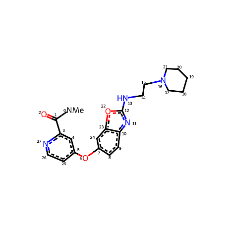 CNC(=O)c1cc(Oc2ccc3nc(NCCN4CCCCC4)oc3c2)ccn1